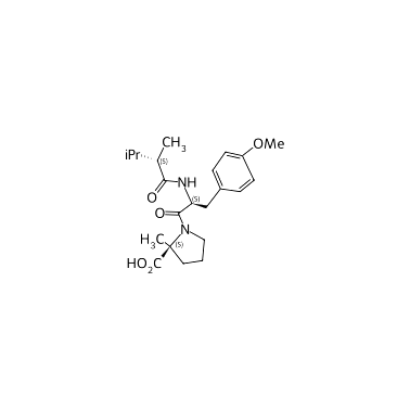 COc1ccc(C[C@H](NC(=O)[C@@H](C)C(C)C)C(=O)N2CCC[C@@]2(C)C(=O)O)cc1